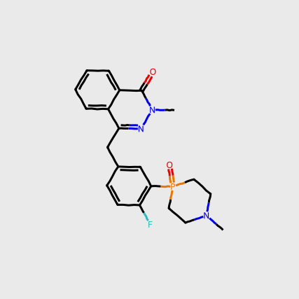 CN1CCP(=O)(c2cc(Cc3nn(C)c(=O)c4ccccc34)ccc2F)CC1